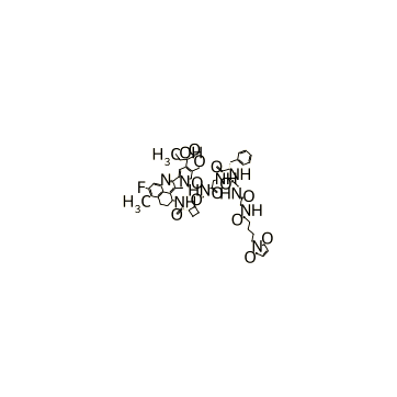 CC[C@@]1(O)C(=O)OCc2c1cc1n(c2=O)Cc2c-1nc1cc(F)c(C)c3c1c2[C@@H](NC(=O)[C@H]1CCC1OCNC(=O)CNC(=O)[C@H](Cc1ccccc1)NC(=O)CNC(=O)CNC(=O)CCCCN1C(=O)C=CC1=O)CC3